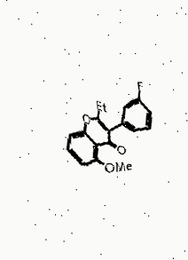 CCc1oc2cccc(OC)c2c(=O)c1-c1cccc(F)c1